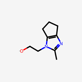 Cc1nc2c(n1CC[O])CCC2